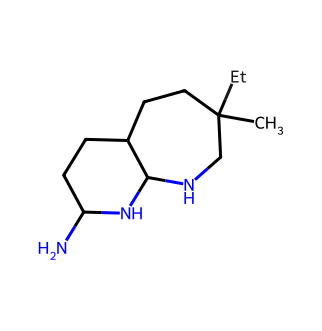 CCC1(C)CCC2CCC(N)NC2NC1